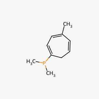 CC1=CC=C(P(C)C)CC=C1